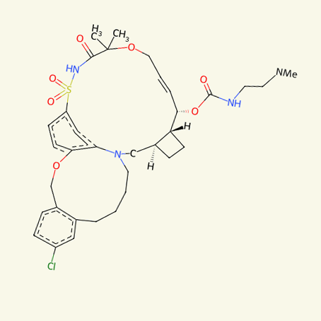 CNCCNC(=O)O[C@H]1/C=C/COC(C)(C)C(=O)NS(=O)(=O)c2ccc3c(c2)N(CCCCc2cc(Cl)ccc2CO3)C[C@@H]2CC[C@H]21